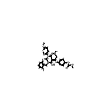 CNC(=O)Nc1ccc(N/C(CN(C)C)=C2\C(=N)N(Cc3c(F)cccc3F)C(=O)N(c3ccc(OC)nn3)C2=O)cc1